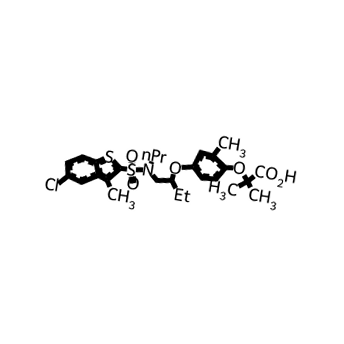 CCCN(CC(CC)Oc1ccc(OC(C)(C)C(=O)O)c(C)c1)S(=O)(=O)c1sc2ccc(Cl)cc2c1C